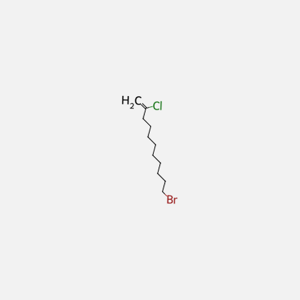 C=C(Cl)CCCCCCCCCBr